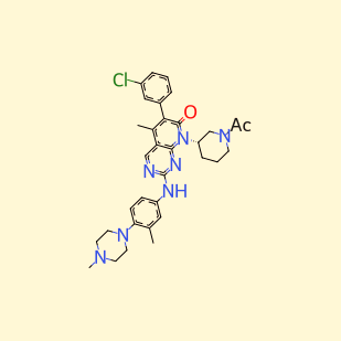 CC(=O)N1CCC[C@H](n2c(=O)c(-c3cccc(Cl)c3)c(C)c3cnc(Nc4ccc(N5CCN(C)CC5)c(C)c4)nc32)C1